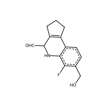 O=CC1Nc2c(ccc(CO)c2F)C2=C1CCC2